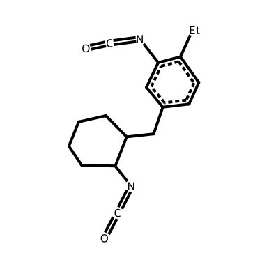 CCc1ccc(CC2CCCCC2N=C=O)cc1N=C=O